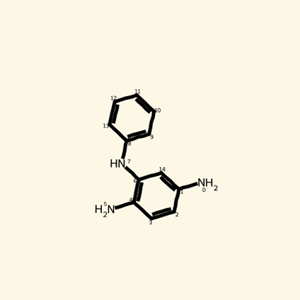 Nc1ccc(N)c(Nc2ccccc2)c1